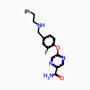 CC(C)CCNCc1ccc(Oc2cnc(C(N)=O)cn2)c(F)c1